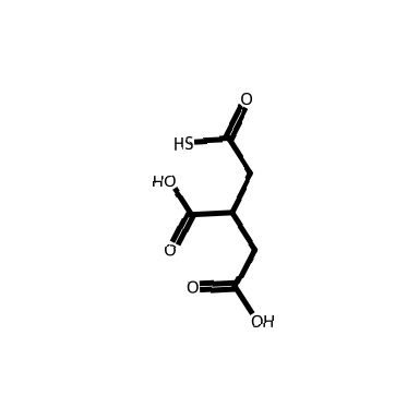 O=C(O)CC(CC(=O)S)C(=O)O